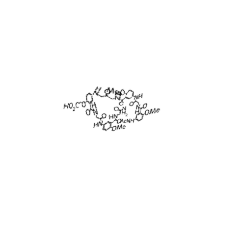 COc1ccc(NC(=O)CNC(=O)c2cc(NCC(=O)CNC(=O)C3=CC(NC(=O)CNC(=O)c4cc(NC(C)=O)ccc4OC)=CCC3OC)ccc2OCC(=O)O)cc1C(=O)NCC(N)=O